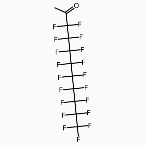 CC(=O)C(F)(F)C(F)(F)C(F)(F)C(F)(F)C(F)(F)C(F)(F)C(F)(F)C(F)(F)C(F)(F)F